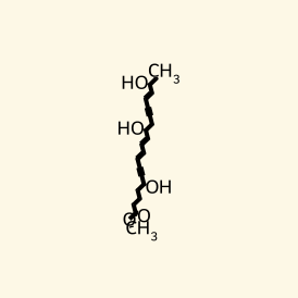 CC[C@@H](O)/C=C/C#CC[C@@H](O)/C=C/C=C/C#C[C@@H](O)CCCC(=O)OC